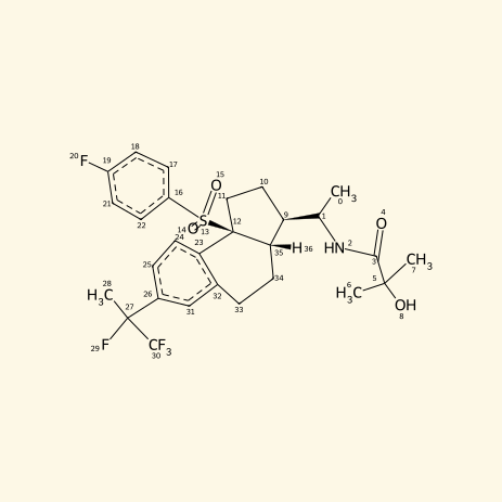 CC(NC(=O)C(C)(C)O)[C@@H]1CC[C@@]2(S(=O)(=O)c3ccc(F)cc3)c3ccc(C(C)(F)C(F)(F)F)cc3CC[C@@H]12